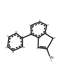 CC(C)C1=Cc2c(cccc2-c2ccccc2)C1